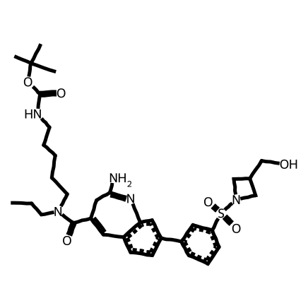 CCCN(CCCCCNC(=O)OC(C)(C)C)C(=O)C1=Cc2ccc(-c3cccc(S(=O)(=O)N4CC(CO)C4)c3)cc2N=C(N)C1